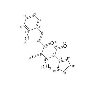 CN(C(=O)C(=O)/C=C/c1ccccc1Cl)C([C]=O)c1cccs1